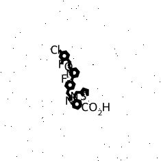 O=C(O)c1ccc2nc(Cc3ccc(-c4cccc(OCc5ccc(Cl)cc5F)n4)c(F)c3)n(Cc3cccs3)c2c1